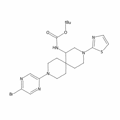 CC(C)(C)OC(=O)NC1CN(c2nccs2)CCC12CCN(c1cnc(Br)cn1)CC2